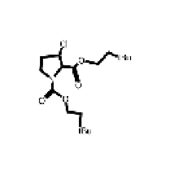 CC(C)(C)CCOC(=O)C1C(Cl)CCN1C(=O)OCCC(C)(C)C